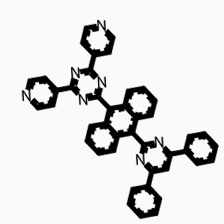 c1ccc(-c2cc(-c3ccccc3)nc(-c3c4ccccc4c(-c4nc(-c5ccncc5)nc(-c5ccncc5)n4)c4ccccc34)n2)cc1